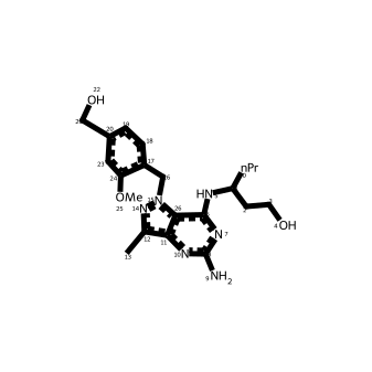 CCCC(CCO)Nc1nc(N)nc2c(C)nn(Cc3ccc(CO)cc3OC)c12